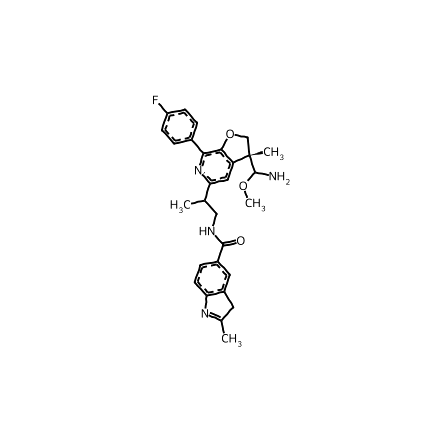 COC(N)[C@@]1(C)COc2c1cc(C(C)CNC(=O)c1ccc3c(c1)CC(C)=N3)nc2-c1ccc(F)cc1